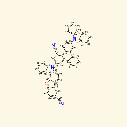 N#Cc1cc(-c2ccccc2-c2cccc(-n3c4ccccc4c4ccccc43)c2)cc(-n2c3ccccc3c3c4oc5ccc(C#N)cc5c4ccc32)c1